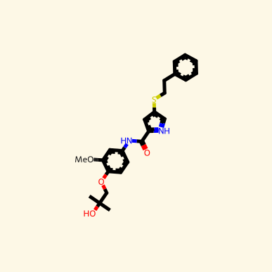 COc1cc(NC(=O)c2cc(SCCc3ccccc3)c[nH]2)ccc1OCC(C)(C)O